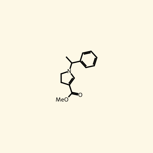 COC(=O)C1=CN(C(C)c2ccccc2)CC1